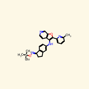 Cc1cccc(-c2oc3cnccc3c2Nc2ccc3c(c2)CCC3=NO[Si](C)(C)C(C)(C)C)n1